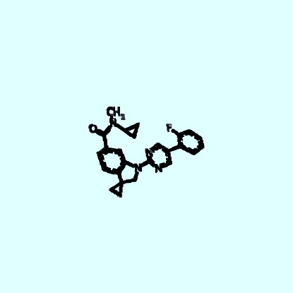 CN(C(=O)c1ccc2c(c1)N(c1ncc(-c3ccccc3F)cn1)CC21CC1)C1CC1